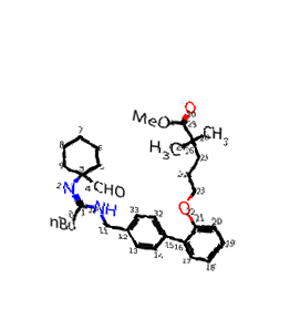 CCCC/C(=N/C1(C=O)CCCCC1)NCc1ccc(-c2ccccc2OCCCC(C)(C)C(=O)OC)cc1